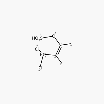 CC(OS(=O)(=O)O)=[C](C)[Pt-]([Cl])[Cl]